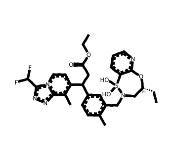 CCOC(=O)CC(c1ccc(C)c(CN2C[C@@H](CC)Oc3ncccc3S2(O)O)c1)c1ccn2c(C(F)F)nnc2c1C